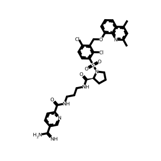 Cc1cc(C)c2cccc(OCc3c(Cl)ccc(S(=O)(=O)N4CCC[C@H]4C(=O)NCCCNC(=O)c4ccc(C(=N)N)cn4)c3Cl)c2n1